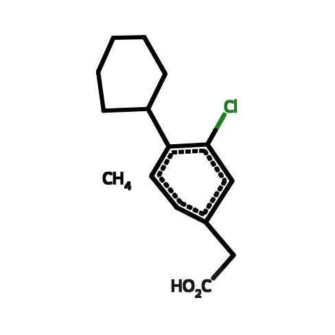 C.O=C(O)Cc1ccc(C2CCCCC2)c(Cl)c1